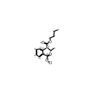 CCCCOC(=O)N(CC)c1ccccc1C(=O)OCl